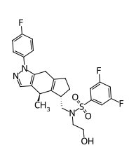 C[C@@H]1C2=C(CC[C@@H]2CN(CCO)S(=O)(=O)c2cc(F)cc(F)c2)Cc2c1cnn2-c1ccc(F)cc1